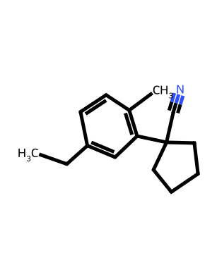 CCc1ccc(C)c(C2(C#N)CCCC2)c1